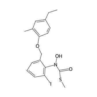 CCc1ccc(OCc2cccc(I)c2N(O)C(=O)SC)c(C)c1